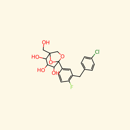 OCC12COC(c3ccc(F)c(Cc4ccc(Cl)cc4)c3)(O1)C(O)C(O)C2O